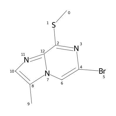 CSc1nc(Br)cn2c(C)cnc12